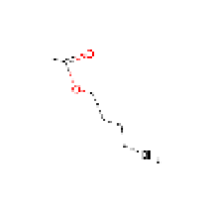 BCCCCOC(C)=O